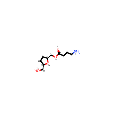 NCCCC(=O)OC[C@@H]1CC[C@H](CO)O1